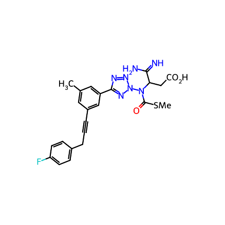 CSC(=O)N(C(CC(=O)O)C(=N)N)n1nnc(-c2cc(C)cc(C#CCc3ccc(F)cc3)c2)n1